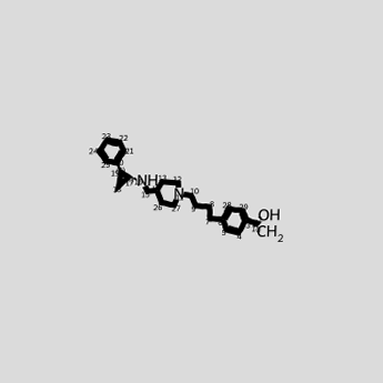 C=C(O)c1ccc(CCCCN2CCC(CN[C@@H]3C[C@H]3c3ccccc3)CC2)cc1